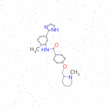 Cc1ccc(-c2ncc[nH]2)cc1NC(=O)c1ccc(OCC2CCCCN2C)cc1